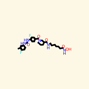 Cc1cc(NC(=O)Nc2ccc(C(=O)N3CCCC(C(=O)NCCCCCCC(=O)NO)C3)cc2F)ccc1F